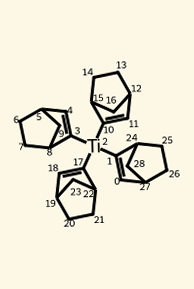 C1=[C]([Ti]([C]2=CC3CCC2C3)([C]2=CC3CCC2C3)[C]2=CC3CCC2C3)C2CCC1C2